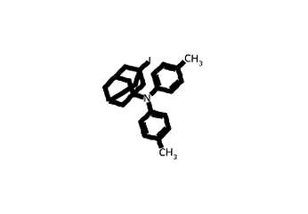 Cc1ccc(N(c2ccc(C)cc2)C23CC4CC(CC(I)(C4)C2)C3)cc1